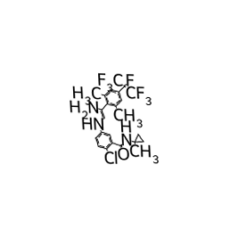 Cc1cc(C(F)(C(F)(F)F)C(F)(F)F)cc(C)c1/C(N)=C/Nc1ccc(Cl)c(C(=O)NC2(C)CC2)c1